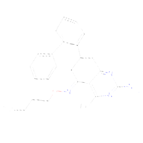 CCOC(=O)CCCO/N=C1\CC(c2ccccc2-c2ccccc2)Cc2nc(N)nc(C)c21